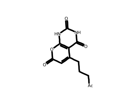 CC(=O)CCCc1cc(=O)oc2[nH]c(=O)[nH]c(=O)c12